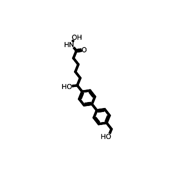 O=C(CCCCC(O)c1ccc(-c2ccc(CO)cc2)cc1)NO